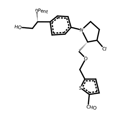 CCCCC[C@@H](CO)c1ccc(N2CCC(Cl)[C@@H]2COCc2ccc(C=O)s2)cc1